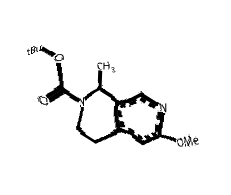 COc1cc2c(cn1)C(C)N(C(=O)OC(C)(C)C)CC2